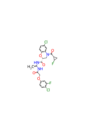 C=C(NC(=O)COc1ccc(Cl)c(F)c1)NC(=O)[C@H]1CN(C(=O)[C@H]2C[C@H]2F)c2cc(Cl)ccc2O1